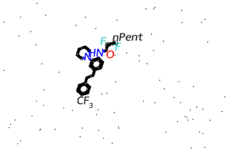 CCCCC[C@H](F)[C@H](F)C(=O)Nc1ccc(CCc2ccc(C(F)(F)F)cc2)cc1N1CCCCC1